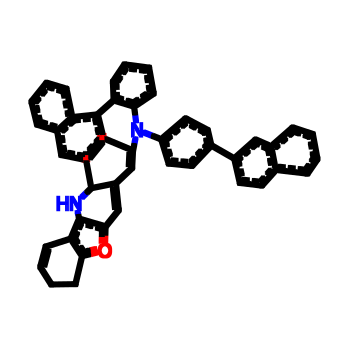 C1=Cc2c(oc3c2NC2C=CC(N(c4ccc(-c5ccc6ccccc6c5)cc4)c4ccccc4-c4cccc5ccccc45)=CC2=C3)CC1